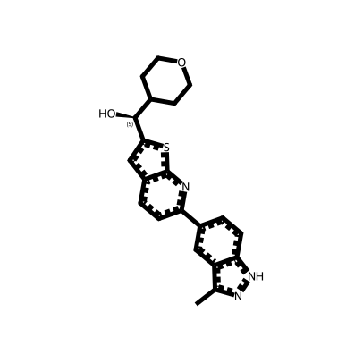 Cc1n[nH]c2ccc(-c3ccc4cc([C@@H](O)C5CCOCC5)sc4n3)cc12